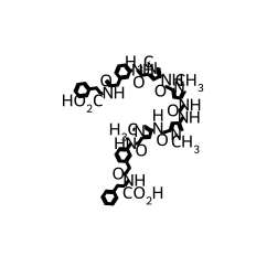 Cn1cc(NC(=O)Nc2cc(C(=O)Nc3cc(C(=O)Nc4cccc(CC(=O)NC(Cc5ccccc5)C(=O)O)c4)n(C)c3)n(C)c2)cc1C(=O)Nc1cc(C(=O)Nc2cccc(CC(=O)NC(Cc3ccccc3)C(=O)O)c2)n(C)c1